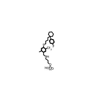 Cc1cc(SCCCCC2(c3ccc(F)cc3)CCCCC2)c(C(F)(F)F)cc1CNCCCO[PH](=O)O